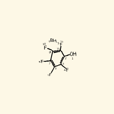 B.Oc1c(F)c(F)c(F)c(F)c1F